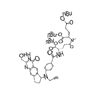 C#CCN(c1ccc(C(=O)N[C@@H](CCC(=O)N(C)[C@H](CCC(=O)OCCCC)C(=O)OCCCC)C(=O)OCCCC)cc1)C1CCc2cc3nc(CO)[nH]c(=O)c3cc21